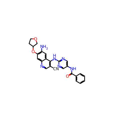 N#Cc1cnc2cc(OC3CCOC3)c(N)cc2c1Nc1ncc(NC(=O)c2ccccc2)cn1